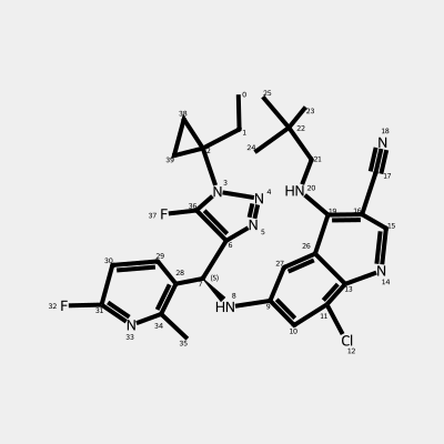 CCC1(n2nnc([C@@H](Nc3cc(Cl)c4ncc(C#N)c(NCC(C)(C)C)c4c3)c3ccc(F)nc3C)c2F)CC1